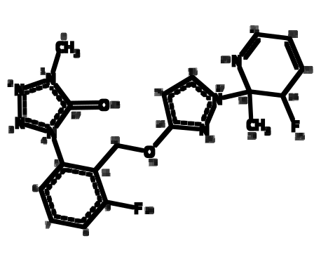 Cn1nnn(-c2cccc(F)c2COc2ccn(C3(C)N=CC=CC3F)n2)c1=O